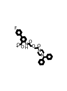 COC(=O)c1cc(-c2ccc(F)cc2)ccc1NC(=O)COCC(=O)N1CCN(C(c2ccccc2)c2ccccc2)CC1